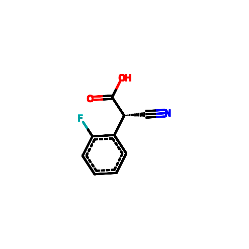 N#C[C@@H](C(=O)O)c1ccccc1F